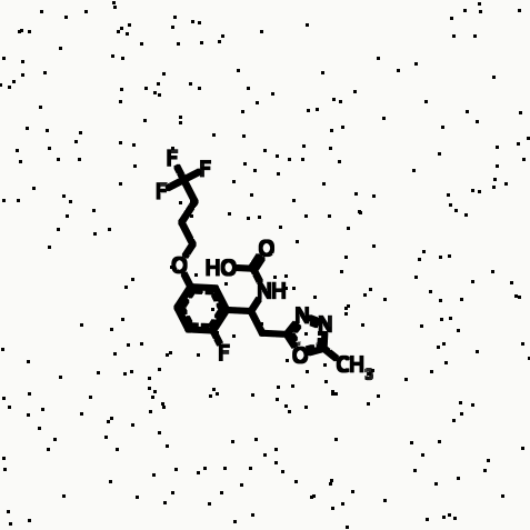 Cc1nnc(CC(NC(=O)O)c2cc(OCCCC(F)(F)F)ccc2F)o1